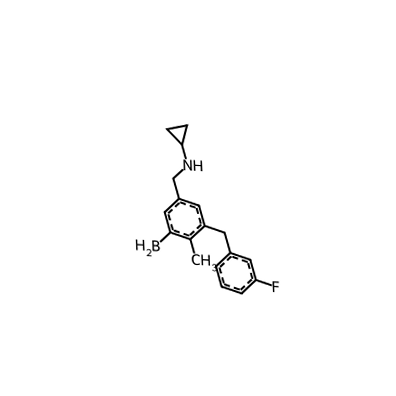 Bc1cc(CNC2CC2)cc(Cc2cccc(F)c2)c1C